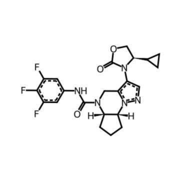 O=C(Nc1cc(F)c(F)c(F)c1)N1Cc2c(N3C(=O)OC[C@H]3C3CC3)cnn2[C@@H]2CCC[C@@H]21